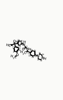 C#CC(C)(c1ccc(OC)cc1)c1csc(NC(=O)NC(C)c2ccc(N3CCNCC3)cc2)n1